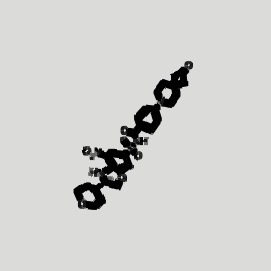 O=C1CC2(CCN(c3ccc(C(=O)NS(=O)(=O)c4cc5c(c([N+](=O)[O-])c4)N[C@H](C4CCOCC4)CO5)cc3)CC2)C1